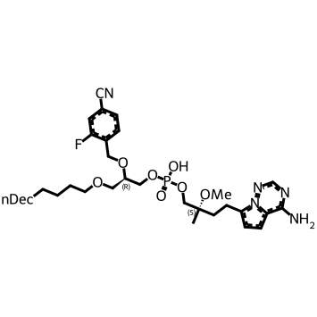 CCCCCCCCCCCCCCOC[C@H](COP(=O)(O)OC[C@](C)(CCc1ccc2c(N)ncnn12)OC)OCc1ccc(C#N)cc1F